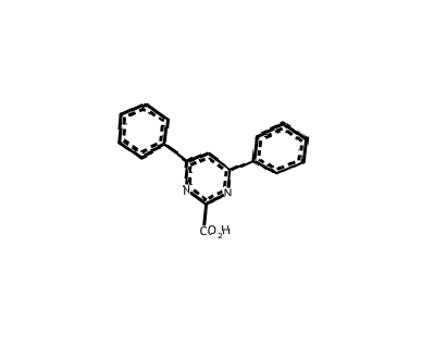 O=C(O)c1nc(-c2ccccc2)cc(-c2ccccc2)n1